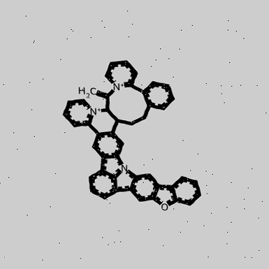 C=C1C2C(CCc3ccccc3-c3cccc[n+]31)c1cc3c(cc1-c1cccc[n+]12)c1cccc2c4cc5oc6ccccc6c5cc4n3c12